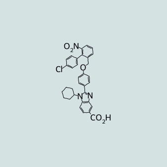 O=C(O)c1ccc2c(c1)nc(-c1ccc(OCc3cccc([N+](=O)[O-])c3-c3ccc(Cl)cc3)cc1)n2C1CCCCC1